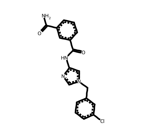 NC(=O)c1cccc(C(=O)Nc2cn(Cc3cccc(Cl)c3)cn2)c1